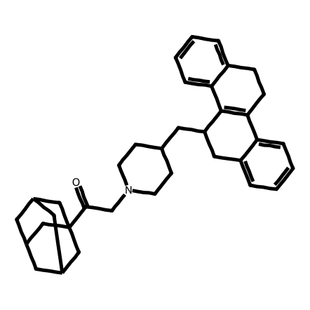 O=C(CN1CCC(CC2Cc3ccccc3C3=C2c2ccccc2CC3)CC1)C12CC3CC(CC(C3)C1)C2